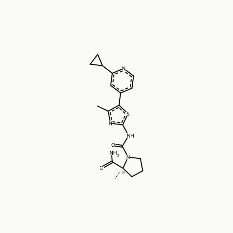 Cc1nc(NC(=O)N2CCC[C@@]2(C)C(N)=O)sc1-c1ccnc(C2CC2)c1